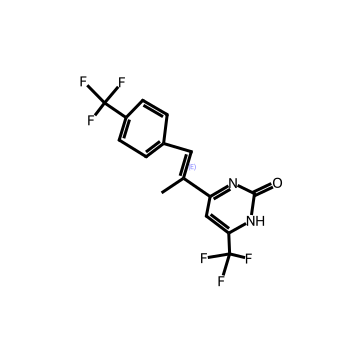 C/C(=C\c1ccc(C(F)(F)F)cc1)c1cc(C(F)(F)F)[nH]c(=O)n1